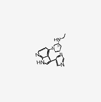 CCN[C@H]1CCCN(c2ccnc3[nH]cc(-c4cncnc4)c23)C1